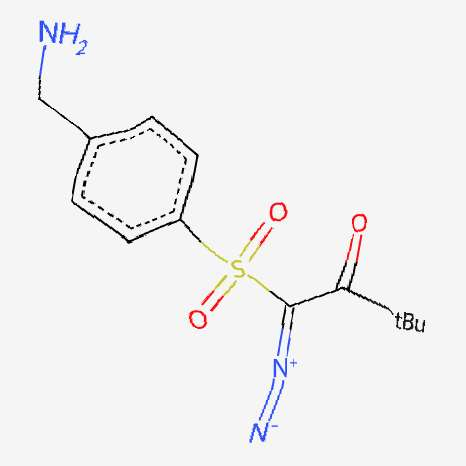 CC(C)(C)C(=O)C(=[N+]=[N-])S(=O)(=O)c1ccc(CN)cc1